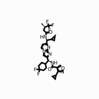 C[C@H](CC(=O)N[C@H](c1ccn2cc([C@@H](NC(=O)c3conc3C3CC3)C3CCC(F)(F)CC3)nc2n1)C1CC1)C(F)(F)F